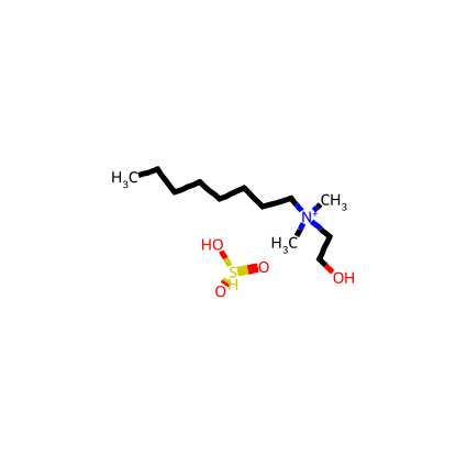 CCCCCCCC[N+](C)(C)CCO.O=[SH](=O)O